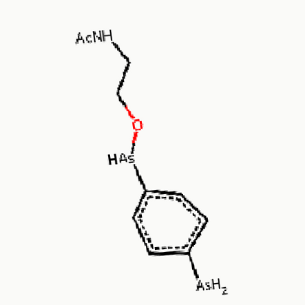 CC(=O)NCCO[AsH]c1ccc([AsH2])cc1